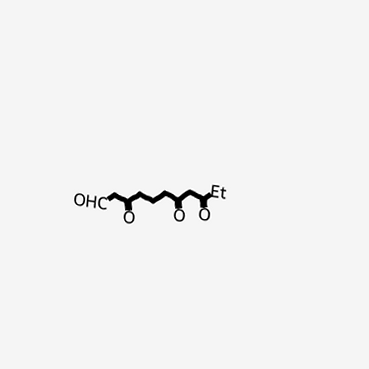 CCC(=O)CC(=O)CCCC(=O)CC=O